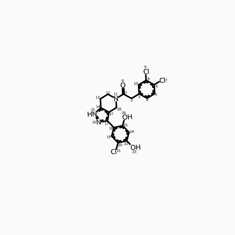 O=C(Cc1ccc(Cl)c(Cl)c1)N1CCc2[nH]nc(-c3cc(Cl)c(O)cc3O)c2C1